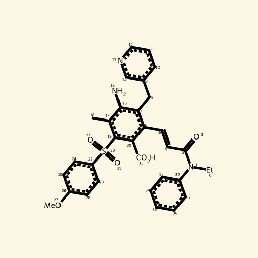 CCN(C(=O)C=Cc1c(Cc2cccnc2)c(N)c(C)c(S(=O)(=O)c2ccc(OC)cc2)c1C(=O)O)c1ccccc1